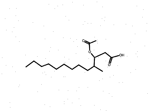 CCCCCCCCCC(C)C(CC(=O)O)OC(C)=O